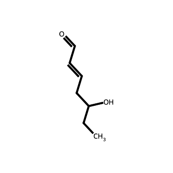 CCC(O)CC=CC=O